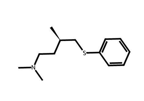 C[C@H](CCN(C)C)CSc1ccccc1